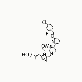 COCCn1c(/C=C(\C)C(=O)O)cnc1CN1CCC(c2cccc(OCc3ccc(Cl)cc3F)n2)CC1